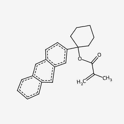 C=C(C)C(=O)OC1(c2ccc3cc4ccccc4cc3c2)CCCCC1